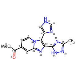 COC(=O)c1ccn2c(-c3c[nH]cn3)c(-c3nc(C(F)(F)F)n[nH]3)nc2c1